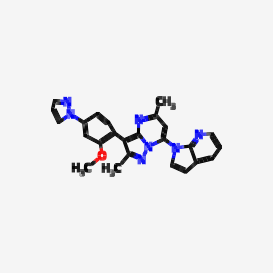 COc1cc(-n2cccn2)ccc1-c1c(C)nn2c(-n3ccc4cccnc43)cc(C)nc12